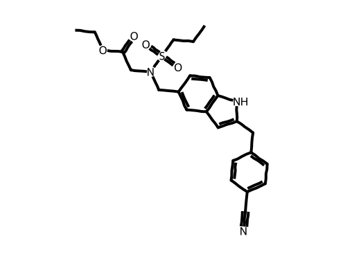 CCCS(=O)(=O)N(CC(=O)OCC)Cc1ccc2[nH]c(Cc3ccc(C#N)cc3)cc2c1